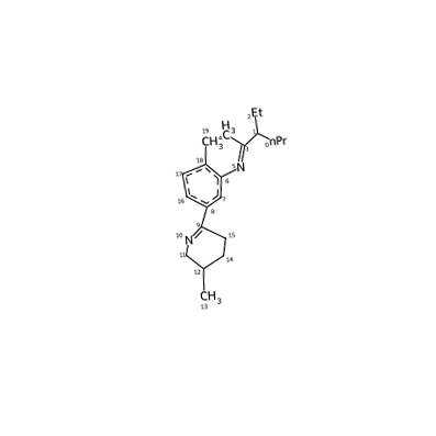 CCCC(CC)/C(C)=N/c1cc(C2=NCC(C)CC2)ccc1C